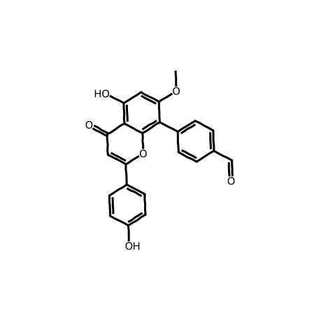 COc1cc(O)c2c(=O)cc(-c3ccc(O)cc3)oc2c1-c1ccc(C=O)cc1